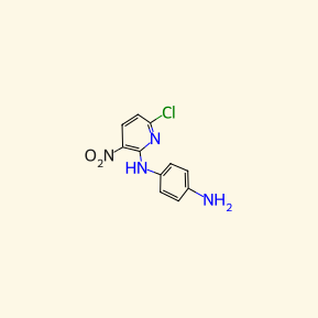 Nc1ccc(Nc2nc(Cl)ccc2[N+](=O)[O-])cc1